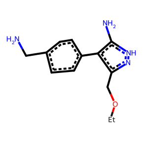 CCOCc1n[nH]c(N)c1-c1ccc(CN)cc1